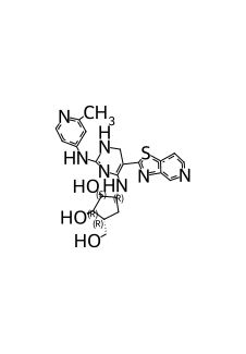 Cc1cc(NC2=NC(N[C@@H]3C[C@H](CO)[C@@H](O)[C@H]3O)=C(c3nc4cnccc4s3)CN2)ccn1